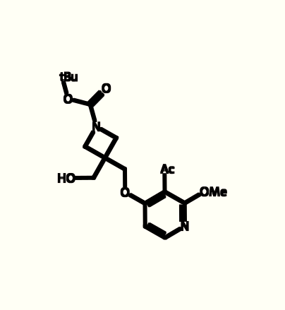 COc1nccc(OCC2(CO)CN(C(=O)OC(C)(C)C)C2)c1C(C)=O